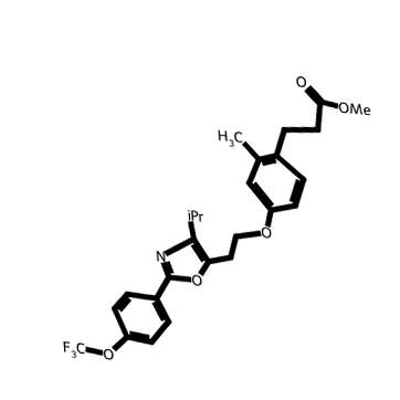 COC(=O)CCc1ccc(OCCc2oc(-c3ccc(OC(F)(F)F)cc3)nc2C(C)C)cc1C